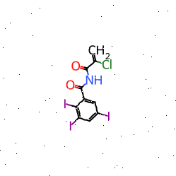 C=C(Cl)C(=O)NC(=O)c1cc(I)cc(I)c1I